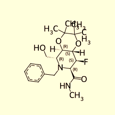 CNC(=O)[C@@H]1[C@H](F)[C@H]2OC(C)(C)C(C)(C)O[C@@H]2[C@@H](CO)N1Cc1ccccc1